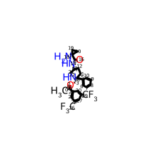 C[C@@H](OC[C@@]1(c2ccccc2)CC[C@H](NC(=O)C2(N)CC2)CN1)c1cc(C(F)(F)F)cc(C(F)(F)F)c1